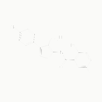 O=C(Nc1scc(-c2ccc(Cl)cc2)c1C(=O)O)c1cc(F)ccc1Br